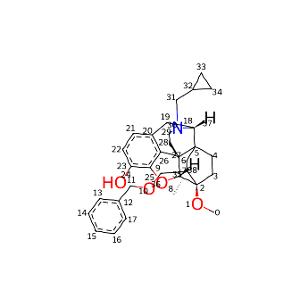 CO[C@]12CCC3(C[C@]1(C)COCc1ccccc1)[C@H]1Cc4ccc(O)c5c4[C@@]3(CCN1CC1CC1)[C@H]2O5